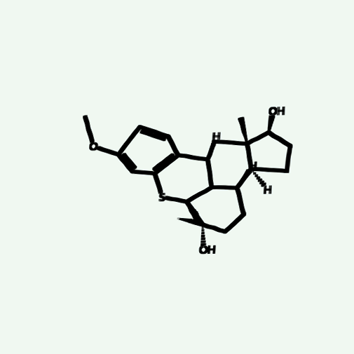 COc1ccc2c(c1)S[C@]13CCCC[C@]1(O)CC[C@@H]1C3[C@@H]2C[C@]2(C)[C@@H](O)CC[C@@H]12